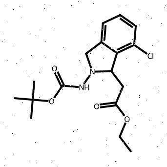 CCOC(=O)CC1c2c(Cl)cccc2CN1NC(=O)OC(C)(C)C